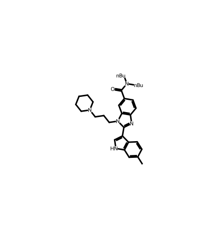 CCCCN(CCCC)C(=O)c1ccc2nc(-c3c[nH]c4cc(C)ccc34)n(CCCN3CCCCC3)c2c1